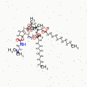 CC/C=C\CC1C(CC(=O)OC(C)(C)CC(C)(C)C(COC(=O)CCCCCCCCCCC)COC(=O)CCCCCCCCCCC)CCC1OC(=O)NCCN(C)C